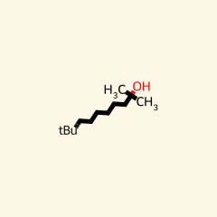 CC(C)(C)CCCCCCC(C)(C)O